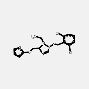 CCN1C(CSc2cccs2)N=CN1SCc1c(Cl)cccc1Cl